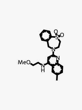 COCCNc1cc(N2CCS(=O)(=O)c3ccccc3C2)nc2ccc(C)cc12